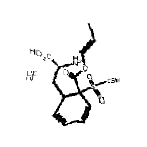 CC=COC(=O)C1(S(=O)(=O)C(C)(C)C)C=CC=CC1C[C@H](N)C(=O)O.F